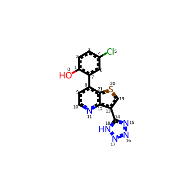 Oc1ccc(Cl)cc1-c1ccnc2c(-c3nnn[nH]3)csc12